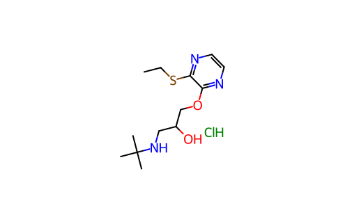 CCSc1nccnc1OCC(O)CNC(C)(C)C.Cl